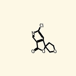 O=C1OC2(CCOC2)c2cc(Cl)ncc21